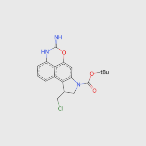 CC(C)(C)OC(=O)N1CC(CCl)c2c1cc1c3c(cccc23)NC(=N)O1